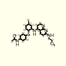 COCCNc1ccc2c(Nc3cc(C)ccc3Sc3ccc(NC(C)=O)cc3)ccnc2n1